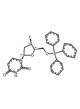 O=c1ccn([C@H]2C[C@@H](F)[C@@H](CO[Si](c3ccccc3)(c3ccccc3)c3ccccc3)O2)c(=O)[nH]1